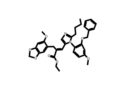 CCCCc1ncc(/C=C(\Cc2cc3c(cc2OC)OCO3)C(=O)OCC)n1-c1ccc(OC)cc1OCc1ccccc1